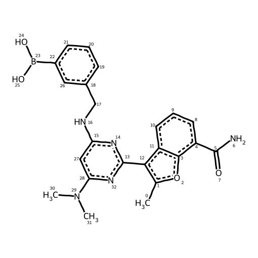 Cc1oc2c(C(N)=O)cccc2c1-c1nc(NCc2cccc(B(O)O)c2)cc(N(C)C)n1